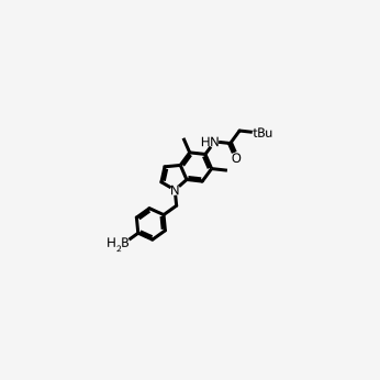 Bc1ccc(Cn2ccc3c(C)c(NC(=O)CC(C)(C)C)c(C)cc32)cc1